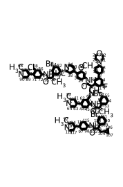 COc1cc(NC(=O)C(C)c2cc(F)cc(-c3ccc(N4CCOCC4)cc3)c2)ccc1-c1ccnc(C)c1.Cc1cc(-c2ccc(NC(=O)C(C)c3cccc(Br)c3)c(C#N)c2)ccn1.Cc1cc(-c2ccc(NC(=O)C(C)c3cccc(Br)c3)cc2Cl)ccn1.Cc1cc(-c2ccc(NC(=O)C(CC3CC3)c3cccc(Br)c3)cc2)ccn1